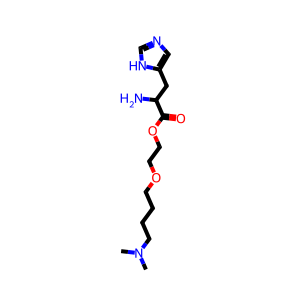 CN(C)CCCCOCCOC(=O)C(N)Cc1cnc[nH]1